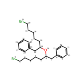 BrCCCCCC(Cc1ccccc1)OC(CCCCCBr)Cc1ccccc1